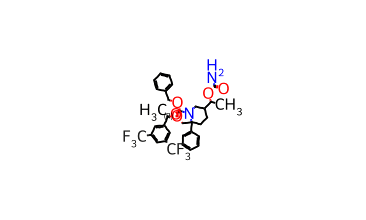 CC(OC(N)=O)C1CCC(CO[C@H](C)c2cc(C(F)(F)F)cc(C(F)(F)F)c2)(c2ccccc2)N(C(=O)OCc2ccccc2)C1